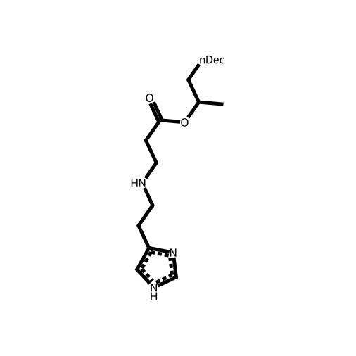 CCCCCCCCCCCC(C)OC(=O)CCNCCc1c[nH]cn1